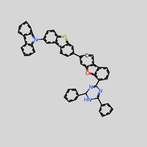 c1ccc(C2=NC(c3cccc4c3oc3cc(-c5ccc6c(c5)sc5ccc(-n7c8ccccc8c8ccccc87)cc56)ccc34)=NC(c3ccccc3)N2)cc1